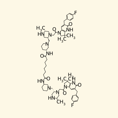 C[C@@H]1CN(CC(=O)N2CC(C)(C)c3[nH]c(=O)c(Cc4ccc(F)cc4)cc32)[C@@H](CN2CCC[C@@H](NC(=O)CCCCCCC(=O)N[C@@H]3CCCN(C[C@H]4CN[C@H](C)CN4CC(=O)N4CC(C)(C)c5[nH]c(=O)c(Cc6ccc(F)cc6)cc54)C3)C2)CN1